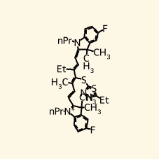 CCCN1/C(=C/C=C(CC)/C(Sc2nnc(CC)s2)=C(C)/C=C/C2=[N+](CCC)c3ccc(F)cc3C2(C)C)C(C)(C)c2cc(F)ccc21